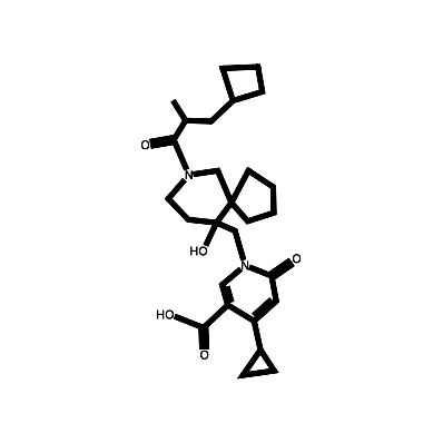 CC(CC1CCC1)C(=O)N1CCC(O)(Cn2cc(C(=O)O)c(C3CC3)cc2=O)C2(CCCC2)C1